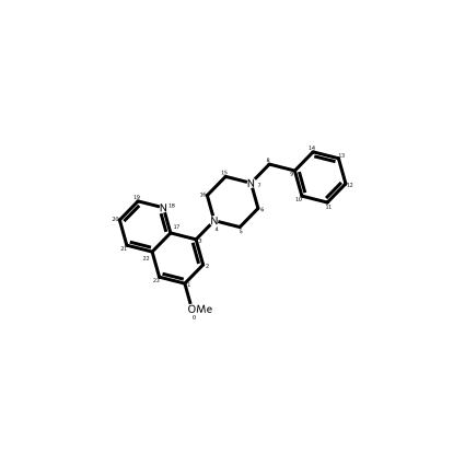 COc1cc(N2CCN(Cc3ccccc3)CC2)c2ncccc2c1